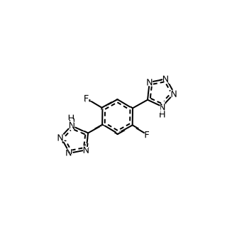 Fc1cc(-c2nnn[nH]2)c(F)cc1-c1nnn[nH]1